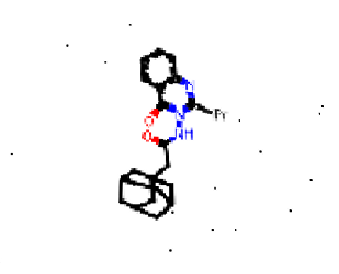 CC(C)c1nc2ccccc2c(=O)n1NC(=O)CC12CC3CC(CC(C3)C1)C2